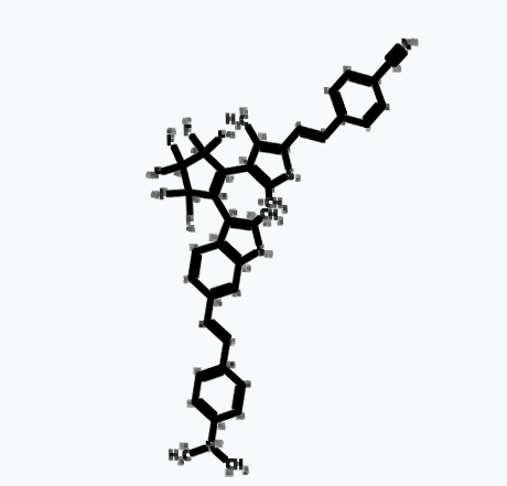 Cc1sc(C=Cc2ccc(C#N)cc2)c(C)c1C1=C(c2c(C)sc3cc(C=Cc4ccc(N(C)C)cc4)ccc23)C(F)(F)C(F)(F)C1(F)F